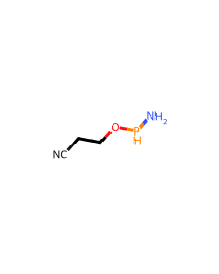 N#CCCOPN